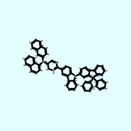 C1=NC(c2ccc3c(c2)c2ccccc2n3-c2ccc3c(c2)C(c2ccccc2)(c2ccccc2)c2ccccc2-3)=NCC1N(c1ccc2ccccc2c1)c1cccc2ccccc12